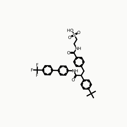 CC(C)(C)c1ccc(C(Cc2ccc(C(=O)NCCS(=O)(=O)O)cc2)C(=O)Nc2ccc(-c3ccc(C(F)(F)F)cc3)cc2)cc1